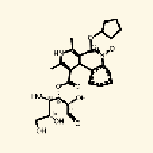 CC1=C(C(=O)OC2CCCC2)C(c2ccccc2[N+](=O)[O-])C(C(=O)O[C@@H]([C@H](O)[C@H](O)CO)[C@@H](O)C=O)=C(C)N1